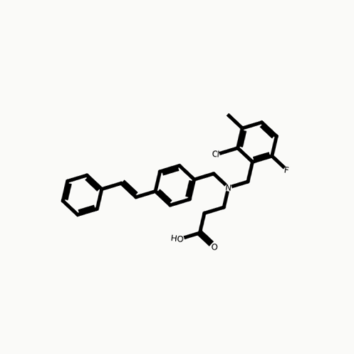 Cc1ccc(F)c(CN(CCC(=O)O)Cc2ccc(C=Cc3ccccc3)cc2)c1Cl